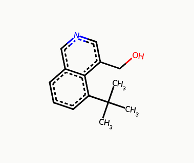 CC(C)(C)c1cccc2cncc(CO)c12